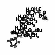 CCC(=O)OC(C)C(=O)OC(C)C(C)(C)C(C)(C)C(=O)OC(C)(C(=O)OC(C)C(C)(C)C)C(C)(C)CC(c1ccccc1)C(C)(C)C